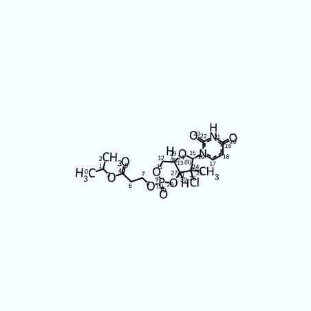 CC(C)OC(=O)CCO[P@@]1(=O)OC[C@H]2O[C@@H](n3ccc(=O)[nH]c3=O)[C@](C)(Cl)[C@@H]2O1